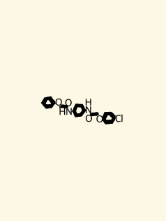 O=C(COc1ccccc1)N[C@H]1CC[C@H](NC(=O)COc2ccc(Cl)cc2)CC1